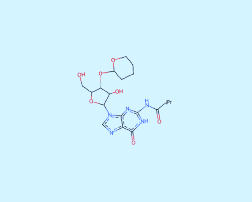 CC(C)C(=O)Nc1nc2c(ncn2C2OC(CO)C(OC3CCCCO3)C2O)c(=O)[nH]1